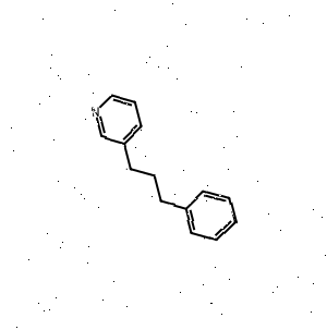 [CH](CCc1ccccc1)c1cccnc1